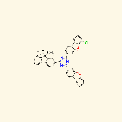 CC1(C)c2ccccc2-c2ccc(-c3nc(-c4ccc5c(c4)oc4ccccc45)nc(-c4ccc5c(c4)oc4c(Cl)cccc45)n3)cc21